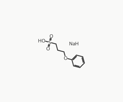 O=S(=O)(O)CCCOc1ccccc1.[NaH]